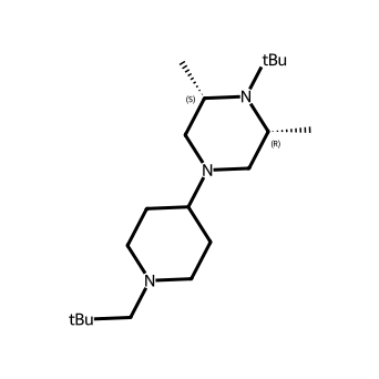 C[C@@H]1CN(C2CCN(CC(C)(C)C)CC2)C[C@H](C)N1C(C)(C)C